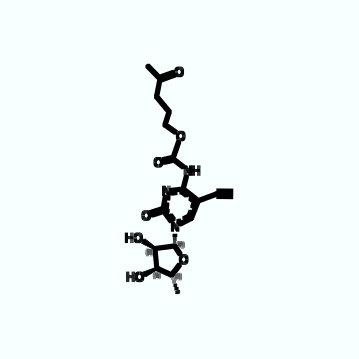 C#Cc1cn([C@@H]2O[C@H](C)[C@@H](O)[C@H]2O)c(=O)nc1NC(=O)OCCCC(C)=O